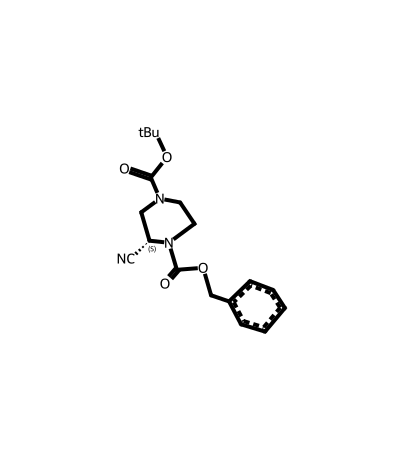 CC(C)(C)OC(=O)N1CCN(C(=O)OCc2ccccc2)[C@H](C#N)C1